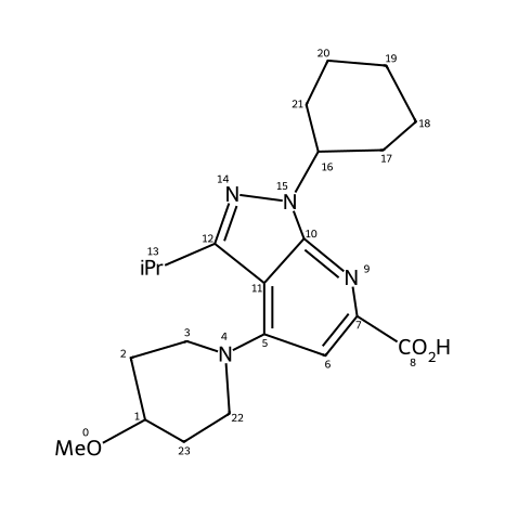 COC1CCN(c2cc(C(=O)O)nc3c2c(C(C)C)nn3C2CCCCC2)CC1